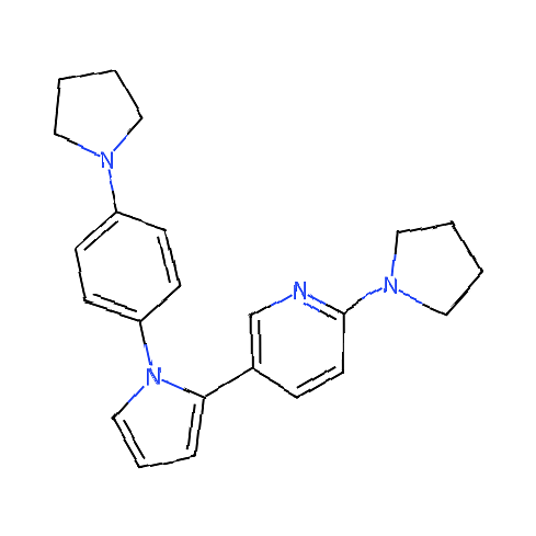 c1cc(-c2ccc(N3CCCC3)nc2)n(-c2ccc(N3CCCC3)cc2)c1